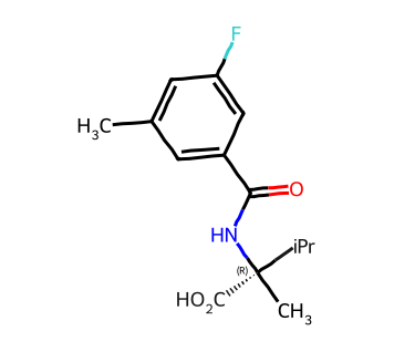 Cc1cc(F)cc(C(=O)N[C@@](C)(C(=O)O)C(C)C)c1